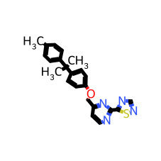 Cc1ccc(C(C)(C)c2ccc(OCc3ccnc(-c4ncns4)n3)cc2)cc1